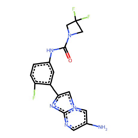 Nc1cnc2nc(-c3cc(NC(=O)N4CC(F)(F)C4)ccc3F)cn2c1